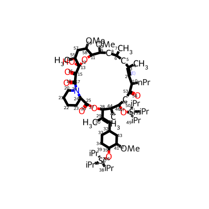 CCCC1/C=C(\C)CC(C)CC(OC)C2OC(O)(C(=O)C(=O)N3CCCCC3C(=O)OC(C(C)=CC3CCC(O[Si](C(C)C)(C(C)C)C(C)C)C(OC)C3)C(C)C(O[Si](C(C)C)(C(C)C)C(C)C)CC1=O)C(C)CC2OC